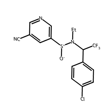 CCN(C(c1ccc(Cl)cc1)C(F)(F)F)[S+]([O-])c1cncc(C#N)c1